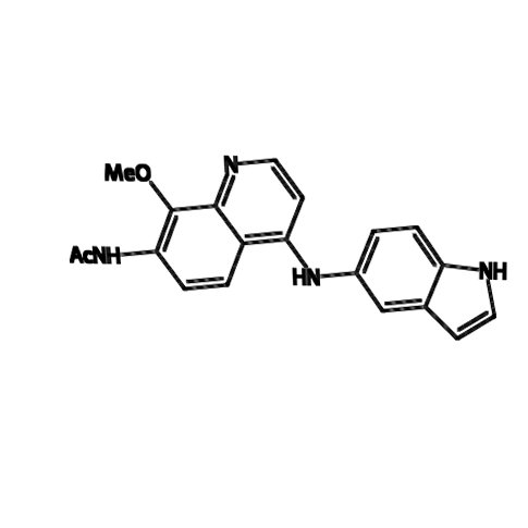 COc1c(NC(C)=O)ccc2c(Nc3ccc4[nH]ccc4c3)ccnc12